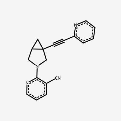 N#Cc1cccnc1N1CC2CC2(C#Cc2ccccn2)C1